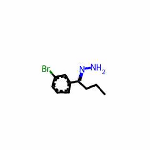 CCCC(=NN)c1cccc(Br)c1